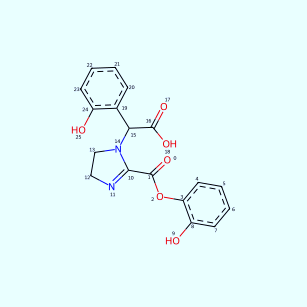 O=C(Oc1ccccc1O)C1=NCCN1C(C(=O)O)c1ccccc1O